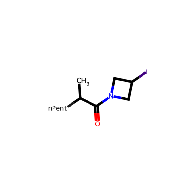 CCCCCC(C)C(=O)N1CC(I)C1